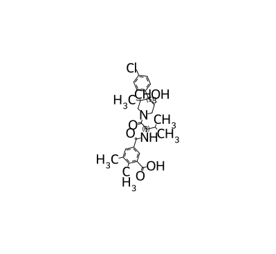 Cc1cc(C(=O)N[C@@H](C(=O)N2CC[C@](O)(c3ccc(Cl)cc3)C(C)(C)C2)C(C)C)cc(C(=O)O)c1C